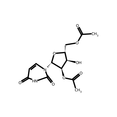 CC(=O)OC[C@H]1O[C@@H](n2ccc(=O)[nH]c2=O)[C@H](OC(C)=O)[C@@H]1O